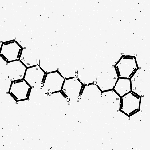 O=C(C[C@@H](NC(=O)OCC1c2ccccc2-c2ccccc21)C(=O)O)NC(c1ccccc1)c1ccccc1